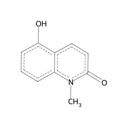 Cn1c(=O)ccc2c(O)cccc21